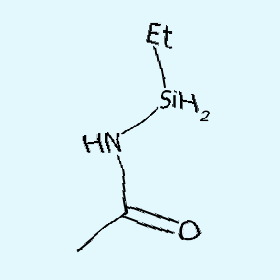 CC[SiH2]NC(C)=O